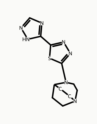 c1n[nH]c(-c2nnc(N3CCN4CCC3CC4)s2)n1